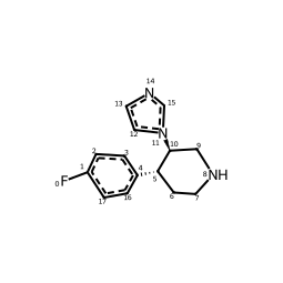 Fc1ccc([C@H]2CCNC[C@@H]2n2ccnc2)cc1